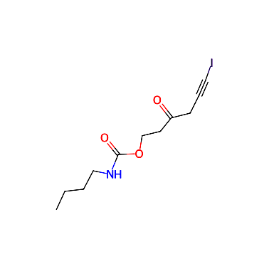 CCCCNC(=O)OCCC(=O)CC#CI